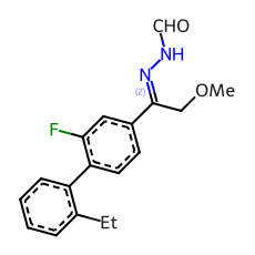 CCc1ccccc1-c1ccc(/C(COC)=N/NC=O)cc1F